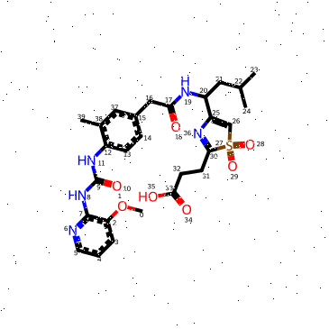 COc1cccnc1NC(=O)Nc1ccc(CC(=O)NC(CC(C)C)C2=CS(=O)(=O)C(CCC(=O)O)=N2)cc1C